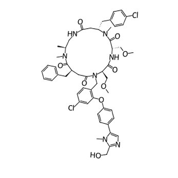 COC[C@@H]1NC(=O)[C@@H](COC)N(Cc2ccc(Cl)cc2Oc2ccc(-c3cnc(CO)n3C)cc2)C(=O)C[C@@H](Cc2ccccc2)C(=O)N(C)[C@@H](C)CNC(=O)C[C@H](Cc2ccc(Cl)cc2)N(C)C1=O